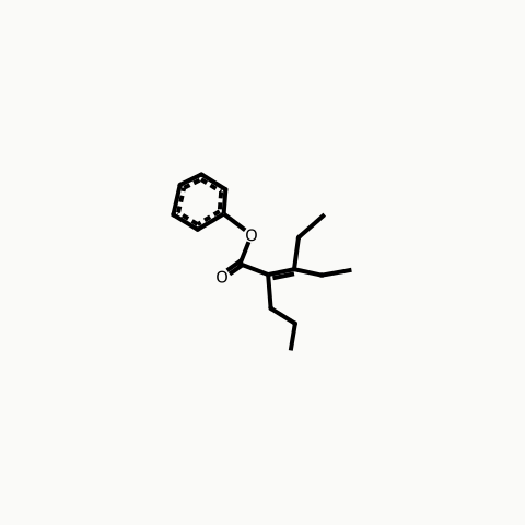 CCCC(C(=O)Oc1ccccc1)=C(CC)CC